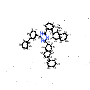 C[Si]1(C)c2cccc(-c3nc(-c4cccc(-c5ccccc5)c4)nc(-c4ccc5cc(-c6ccccc6)ccc5c4)n3)c2-c2ccc3ccccc3c21